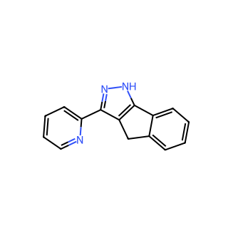 c1ccc(-c2n[nH]c3c2Cc2ccccc2-3)nc1